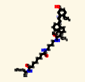 C=C1CC[C@H](O)C/C1=C/C=C1\CCC[C@@]2(C)C1CCC2[C@H](C)C(=O)NCCCCNC(=O)CCCCCCC(=O)N[C@H](CC)CCCCC